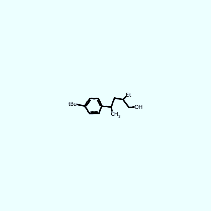 CCC(CO)CC(C)c1ccc(C(C)(C)C)cc1